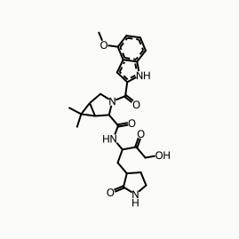 COc1cccc2[nH]c(C(=O)N3CC4C(C3C(=O)NC(CC3CCNC3=O)C(=O)CO)C4(C)C)cc12